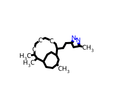 CC1=NN=C(CCC2CCCCCCC(C)C(C)C3CCC(C)CC2CC3)C1